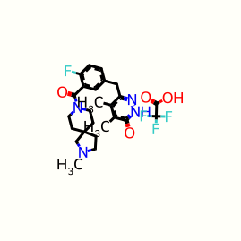 Cc1c(Cc2ccc(F)c(C(=O)N3CCC4(CCN(C)C4)CC3)c2)n[nH]c(=O)c1C.O=C(O)C(F)(F)F